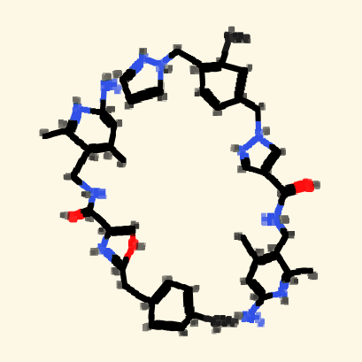 COc1cc(Cn2cc(C(=O)NCc3c(C)cc(N)nc3C)cn2)ccc1Cn1cccn1.COc1ccc(Cc2nc(C(=O)NCc3c(C)cc(N)nc3C)co2)cc1